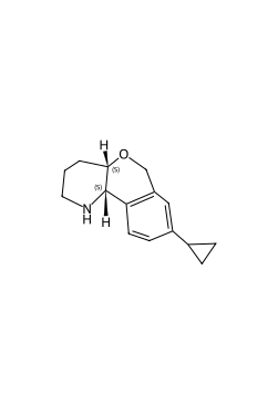 c1cc2c(cc1C1CC1)CO[C@H]1CCCN[C@@H]21